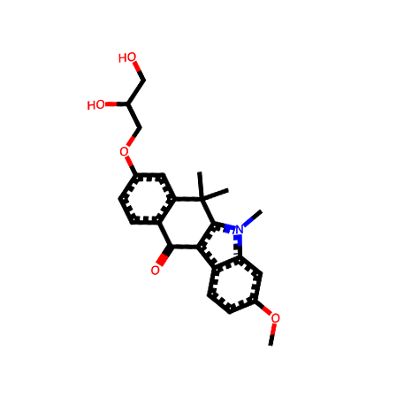 COc1ccc2c3c(n(C)c2c1)C(C)(C)c1cc(OCC(O)CO)ccc1C3=O